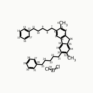 Cc1cc2c(cc1CCCCCc1ccccc1)-c1cc(CCCCCc3ccccc3)c(C)cc1[CH]2.[Cl][Zr][Cl]